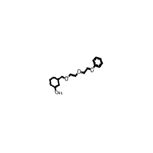 OC1CCCC(COCCOCCOc2ccccc2)C1